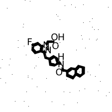 O=C(O)Cn1nc(Cc2ccc(NC(=O)c3ccc4ccccc4c3)cc2)c2ccc(F)cc21